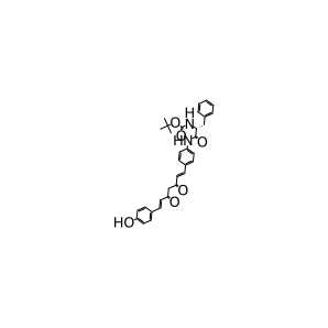 CC(C)(C)OC(=O)N[C@H](Cc1ccccc1)C(=O)Nc1ccc(C=CC(=O)CC(=O)C=Cc2ccc(O)cc2)cc1